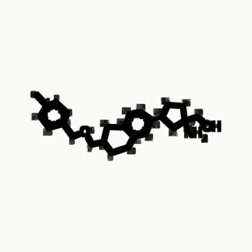 Cc1ccc(COCC2CCc3cc([C@H]4CC[C@](N)(CO)C4)ccc3C2)cc1